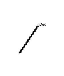 [CH]=CCCCCCCCCCCCCCCCCCCCCCCCCCCCCCC